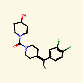 N#CC(=C1CCN(C(=O)N2CCC(O)CC2)CC1)c1ccc(F)c(F)c1